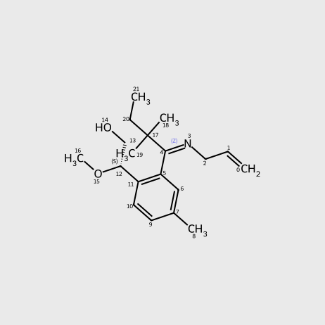 C=CC/N=C(\c1cc(C)ccc1[C@@H](CO)OC)C(C)(C)CC